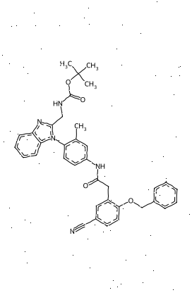 Cc1cc(NC(=O)Cc2cc(C#N)ccc2OCc2ccccc2)ccc1-n1c(CNC(=O)OC(C)(C)C)nc2ccccc21